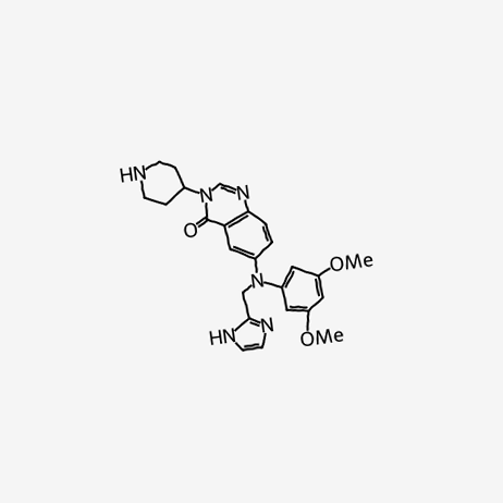 COc1cc(OC)cc(N(Cc2ncc[nH]2)c2ccc3ncn(C4CCNCC4)c(=O)c3c2)c1